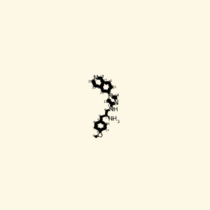 COc1ccc(C[C@H](N)CNc2cn(-c3ccc4cnccc4c3)cn2)cc1